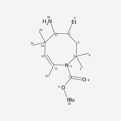 CCC1CC(C)(C)N(C(=O)OC(C)(C)C)/C(C)=C\C(C)(C)C1N